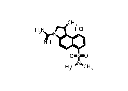 CC1CN(C(=N)N)c2ccc3c(S(=O)(=O)N(C)C)cccc3c21.Cl